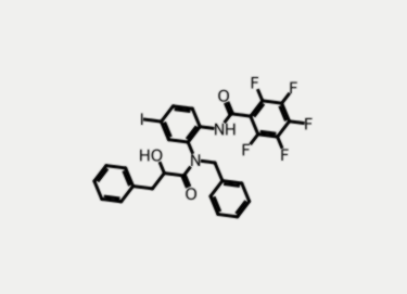 O=C(Nc1ccc(I)cc1N(Cc1ccccc1)C(=O)C(O)Cc1ccccc1)c1c(F)c(F)c(F)c(F)c1F